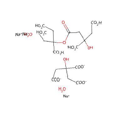 O.O.O=C(O)CC(O)(CC(=O)OC(CC(=O)O)(CC(=O)O)C(=O)O)C(=O)O.O=C([O-])CC(O)(CC(=O)[O-])C(=O)[O-].[Na+].[Na+].[Na+]